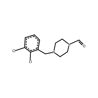 O=CN1CCN(Cc2cccc(Cl)c2Cl)CC1